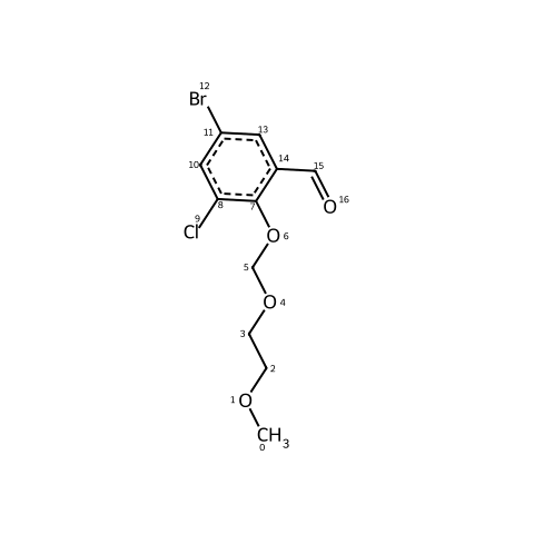 COCCOCOc1c(Cl)cc(Br)cc1C=O